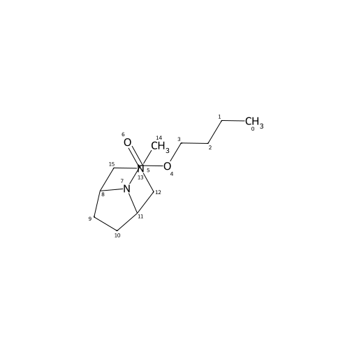 CCCCOC(=O)N1C2CCC1CN(C)C2